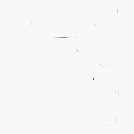 NC(CC(=O)O)C(=O)NC(CCC(=O)O)C(=O)NC(CCC(=O)O)C(=O)O